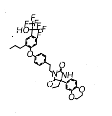 CCCc1cc(C(O)(C(F)(F)F)C(F)(F)F)ccc1Oc1ccc(CCN2C(=O)NC(CC)(c3ccc4c(c3)OCCO4)C2=O)cc1